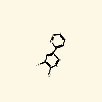 Fc1cc(-c2cccnn2)ccc1Br